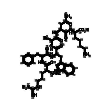 CCC(C)C(NC(=O)C(Cc1c[nH]c2ccccc12)NC(=O)C(Cc1ccccc1)NC(=O)C(CCCNC(=N)N)NC(C)=O)C(=O)NC(CC(N)=O)C(=O)NC(CCCCN)C(=O)O